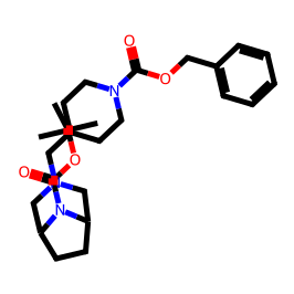 CC(C)(C)OC(=O)N1C2CCC1CN(CC1CCN(C(=O)OCc3ccccc3)CC1)C2